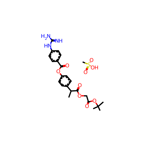 CC(C(=O)OCC(=O)OC(C)(C)C)c1ccc(OC(=O)c2ccc(NC(=N)N)cc2)cc1.CS(=O)(=O)O